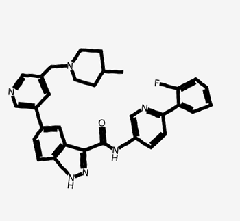 CC1CCN(Cc2cncc(-c3ccc4[nH]nc(C(=O)Nc5ccc(-c6ccccc6F)nc5)c4c3)c2)CC1